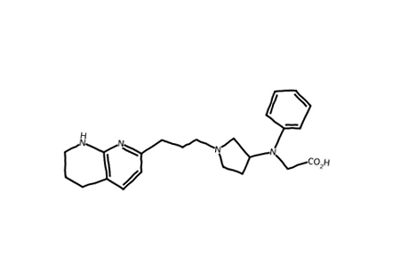 O=C(O)CN(c1ccccc1)C1CCN(CCCc2ccc3c(n2)NCCC3)C1